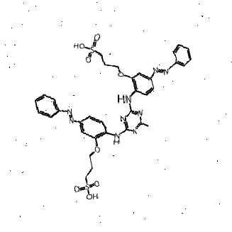 Cc1nc(Nc2ccc(N=Nc3ccccc3)cc2OCCCS(=O)(=O)O)nc(Nc2ccc(N=Nc3ccccc3)cc2OCCCS(=O)(=O)O)n1